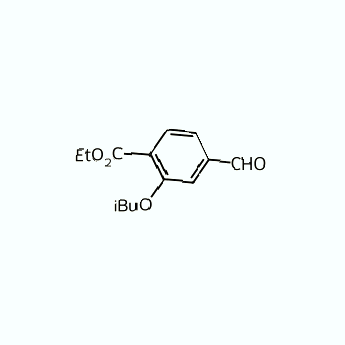 CCOC(=O)c1ccc(C=O)cc1OCC(C)C